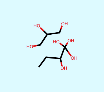 CCC(O)C(O)(O)O.OCC(O)CO